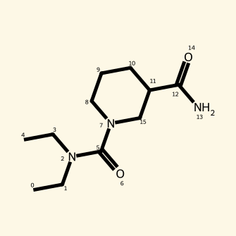 CCN(CC)C(=O)N1CCCC(C(N)=O)C1